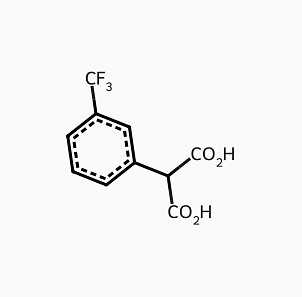 O=C(O)C(C(=O)O)c1cccc(C(F)(F)F)c1